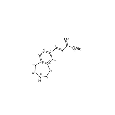 COC(=O)C=Cc1ccc2c(c1)CCNCC2